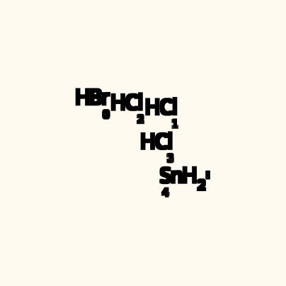 Br.Cl.Cl.Cl.[SnH2]